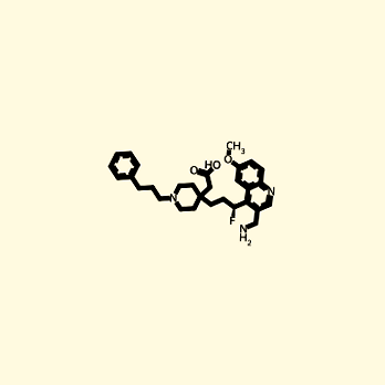 COc1ccc2ncc(CN)c([C@@H](F)CCC3(CC(=O)O)CCN(CCCc4ccccc4)CC3)c2c1